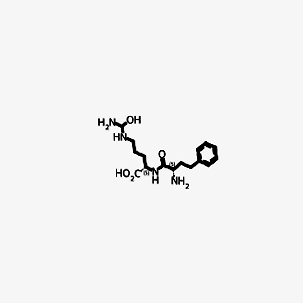 NC(O)NCCC[C@H](NC(=O)[C@@H](N)CCc1ccccc1)C(=O)O